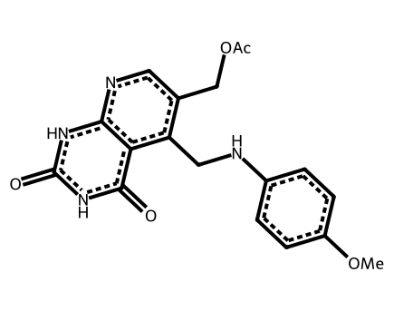 COc1ccc(NCc2c(COC(C)=O)cnc3[nH]c(=O)[nH]c(=O)c23)cc1